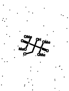 COP(=O)(OC)C(O)(CCl)P(=O)(OC)OC